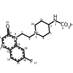 O=C(O)NC1CCN(CCn2c(=O)cnc3ccc(F)cc32)CC1